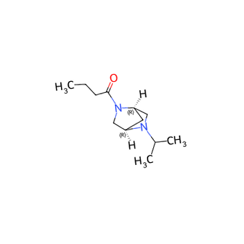 CCCC(=O)N1C[C@H]2C[C@@H]1CN2C(C)C